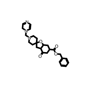 O=C(OCc1ccccc1)C1CC(=O)C2CC3(CCN(CN4C=CN=CC4)CC3)OC2C1